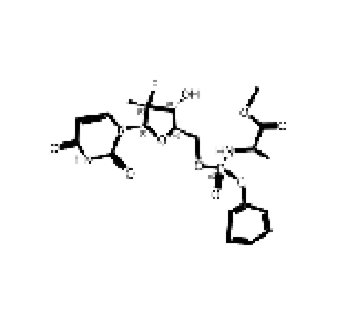 COC(=O)C(C)N[P@](=O)(OC[C@H]1O[C@@H](n2ccc(=O)[nH]c2=O)[C@](C)(F)[C@@H]1O)Oc1ccccc1